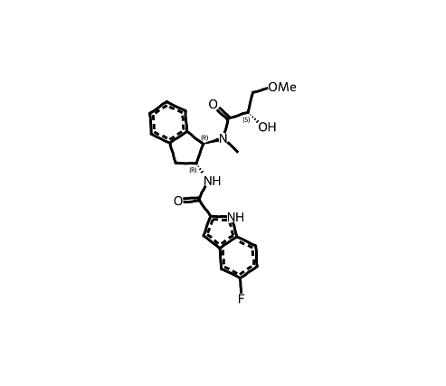 COC[C@H](O)C(=O)N(C)[C@@H]1c2ccccc2C[C@H]1NC(=O)c1cc2cc(F)ccc2[nH]1